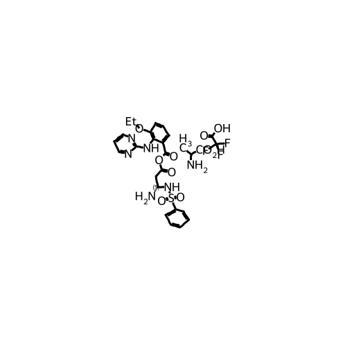 CC(N)C(=O)O.CCOc1cccc(C(=O)OC(=O)C[C@@H](N)NS(=O)(=O)c2ccccc2)c1Nc1ncccn1.O=C(O)C(F)(F)F